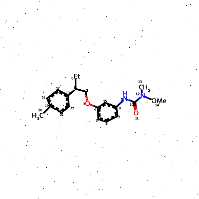 CCC(COc1cccc(NC(=O)N(C)OC)c1)c1ccc(C)cc1